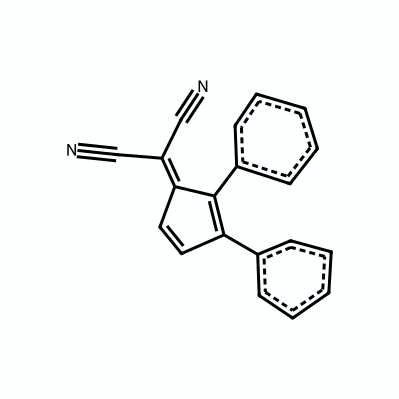 N#CC(C#N)=C1C=CC(c2ccccc2)=C1c1ccccc1